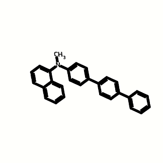 CN(c1ccc(-c2ccc(-c3ccccc3)cc2)cc1)c1cccc2ccccc12